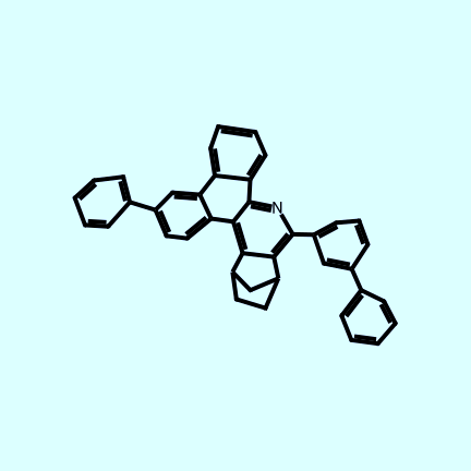 c1ccc(-c2cccc(-c3nc4c5ccccc5c5cc(-c6ccccc6)ccc5c4c4c3C3CCC4C3)c2)cc1